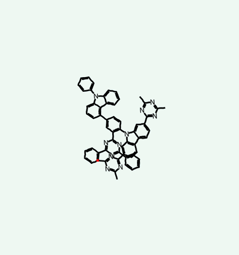 Cc1nc(C)nc(-c2ccc3c4ccc(-c5nc(C)nc(C)n5)cc4n(-c4ccc(-c5cccc6c5c5ccccc5n6-c5ccccc5)cc4-c4nc(-c5ccccc5)nc(-c5ccccc5)n4)c3c2)n1